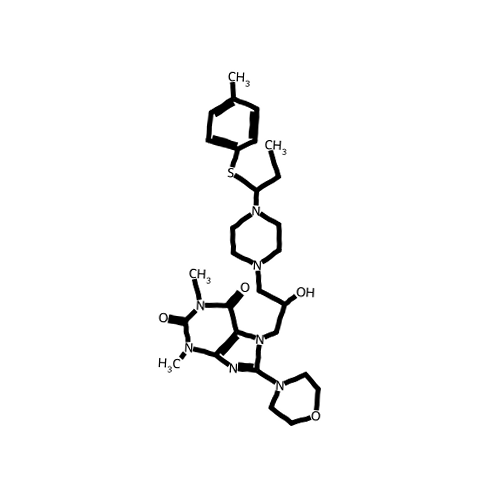 CCC(Sc1ccc(C)cc1)N1CCN(CC(O)Cn2c(N3CCOCC3)nc3c2c(=O)n(C)c(=O)n3C)CC1